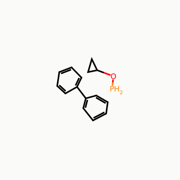 POC1CC1.c1ccc(-c2ccccc2)cc1